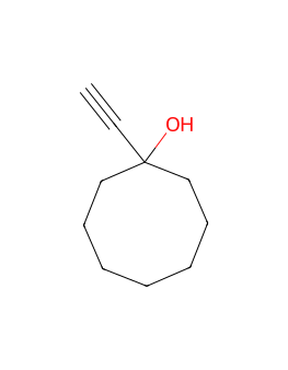 C#CC1(O)CCCCCCC1